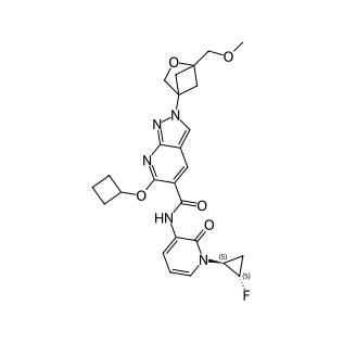 COCC12CC(n3cc4cc(C(=O)Nc5cccn([C@H]6C[C@@H]6F)c5=O)c(OC5CCC5)nc4n3)(CO1)C2